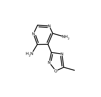 Cc1nc(-c2c(N)ncnc2N)no1